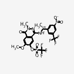 COc1cc2c(=O)n(C)nc(N[C@H](C)c3cc([N+](=O)[O-])cc(C(F)(F)F)c3)c2cc1OS(=O)(=O)C(F)(F)F